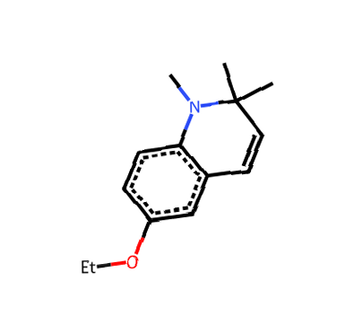 CCOc1ccc2c(c1)C=CC(C)(C)N2C